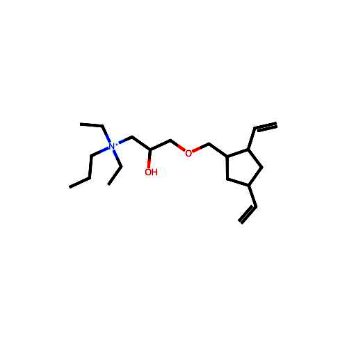 C=CC1CC(C=C)C(COCC(O)C[N+](CC)(CC)CCC)C1